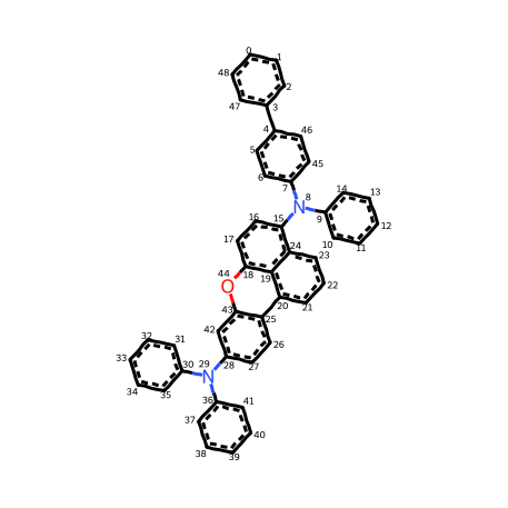 c1ccc(-c2ccc(N(c3ccccc3)c3ccc4c5c(cccc35)-c3ccc(N(c5ccccc5)c5ccccc5)cc3O4)cc2)cc1